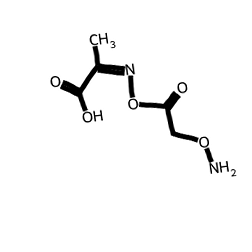 CC(=NOC(=O)CON)C(=O)O